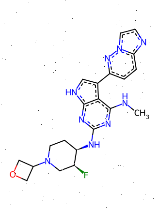 CNc1nc(N[C@@H]2CCN(C3COC3)C[C@@H]2F)nc2[nH]cc(-c3ccc4nccn4n3)c12